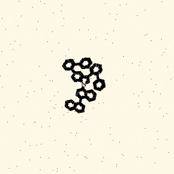 c1ccc(-c2ccccc2-c2ccc3c(c2)c(-c2ccccc2-c2ccccc2)cn3-c2ccc(-c3cccc4ccccc34)c3ccccc23)cc1